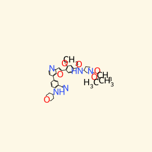 COc1cc(C(=O)NC2CCN(C(=O)OC(C)(C)C)C2)ccc1-c1cc2nccc(-c3ccc(NC4CCOCC4)c(C#N)c3)c2o1